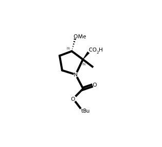 CO[C@H]1CCN(C(=O)OC(C)(C)C)[C@]1(C)C(=O)O